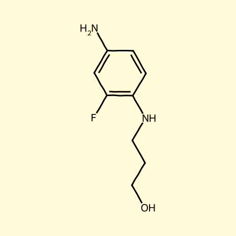 Nc1ccc(NCCCO)c(F)c1